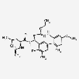 C=CNC(CC(C)C)C(=O)N[C@@H](CC(=O)OCC)c1cc(-c2c(C)cc(OC)cc2C)cc(C)c1F